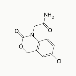 NC(=O)CN1C(=O)OCc2cc(Cl)ccc21